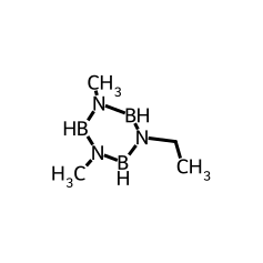 CCN1BN(C)BN(C)B1